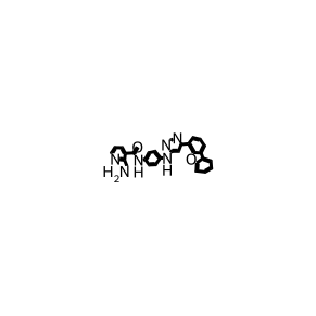 NCc1ncccc1C(=O)Nc1ccc(Nc2cc(-c3cccc4c3oc3ccccc34)ncn2)cc1